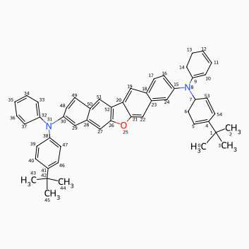 CC(C)(C)C1=CCC(N(C2=CC=CCC2)c2ccc3cc4c(cc3c2)oc2cc3cc(N(c5ccccc5)c5ccc(C(C)(C)C)cc5)ccc3cc24)C=C1